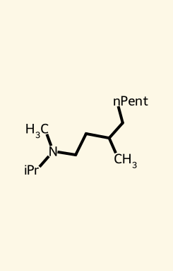 CCCCCCC(C)CCN(C)C(C)C